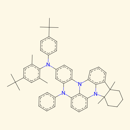 Cc1cc(C(C)(C)C)cc(C)c1N(c1ccc(C(C)(C)C)cc1)c1ccc2c(c1)N(c1ccccc1)c1cccc3c1N2c1cccc2c1N3C1(C)CCCCC21C